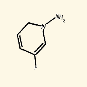 NN1[C]=C(F)C=CC1